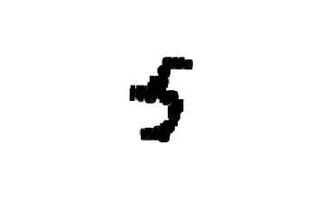 COc1ccc(CN(C)c2cc(N3CCc4c(-c5cnc(CC6CC7(CCN(C(=O)OC(C)(C)C)CC7)C6)cn5)cccc43)nn3c(C(=O)N[C@@H]4C[C@@H]4F)cnc23)cc1